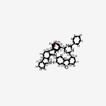 c1ccc(-c2nc(-c3ccccc3)nc(-c3cccc4oc5ccc(-n6c7ccccc7c7ccc8c9ccccc9[nH]c8c76)cc5c34)n2)cc1